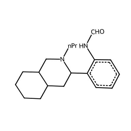 CCCN1CC2CCCCC2CC1c1ccccc1NC=O